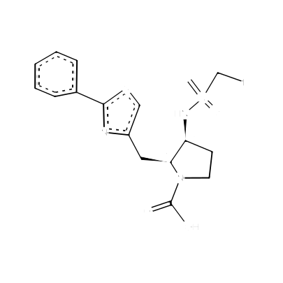 O=C(O)N1CC[C@H](NS(=O)(=O)CF)[C@@H]1Cc1csc(-c2ccccc2)n1